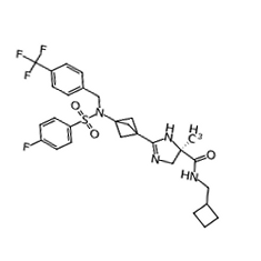 C[C@]1(C(=O)NCC2CCC2)CN=C(C23CC(N(Cc4ccc(C(F)(F)F)cc4)S(=O)(=O)c4ccc(F)cc4)(C2)C3)N1